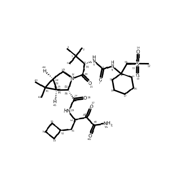 CC(C)(C)[C@H](NC(=O)NC1(CS(C)(=O)=O)CCCCC1)C(=O)N1C[C@H]2[C@@H]([C@H]1C(=O)NC(CC1CCC1)C(=O)C(N)=O)C2(C)C